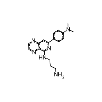 CN(C)c1ccc(-c2cc3nccnc3c(NCCCN)n2)cc1